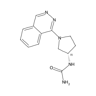 NC(=O)N[C@H]1CCN(c2nncc3ccccc23)C1